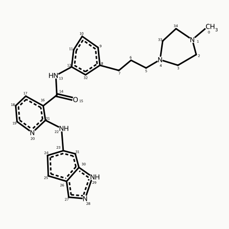 CN1CCN(CCCc2cccc(NC(=O)c3cccnc3Nc3ccc4cn[nH]c4c3)c2)CC1